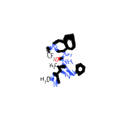 Cc1c(-c2cnn(C)c2)nn(-c2ccccc2)c1NC(=O)NC1CN(CC(F)(F)F)CCc2ccccc21